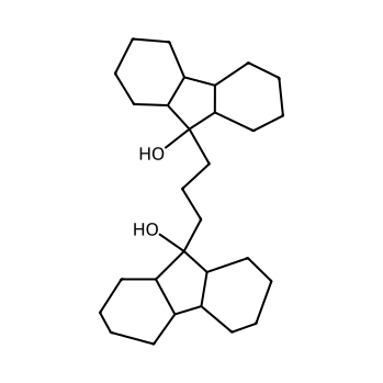 OC1(CCCC2(O)C3CCCCC3C3CCCCC32)C2CCCCC2C2CCCCC21